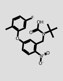 Cc1ccc(F)cc1Oc1ccc([N+](=O)[O-])c(CN(C(=O)O)C(C)(C)C)c1